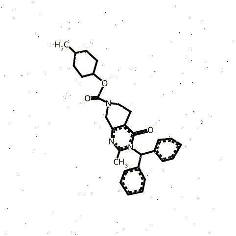 Cc1nc2c(c(=O)n1C(c1ccccc1)c1ccccc1)CCN(C(=O)OC1CCC(C)CC1)C2